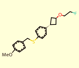 COc1ccc(CSc2ccc([C@H]3C[C@H](OCCF)C3)cc2)cc1